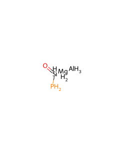 O=[SiH]P.[AlH3].[MgH2]